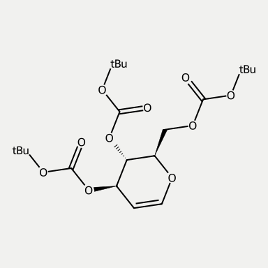 CC(C)(C)OC(=O)OC[C@H]1OC=C[C@@H](OC(=O)OC(C)(C)C)[C@@H]1OC(=O)OC(C)(C)C